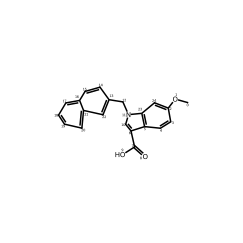 COc1ccc2c(C(=O)O)cn(Cc3ccc4ccccc4c3)c2c1